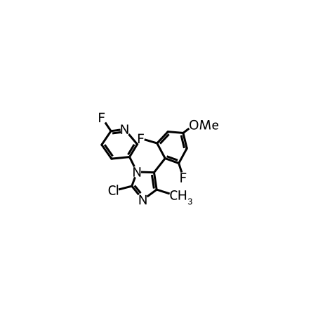 COc1cc(F)c(-c2c(C)nc(Cl)n2-c2ccc(F)nc2)c(F)c1